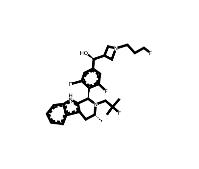 C[C@@H]1Cc2c([nH]c3ccccc23)[C@@H](c2c(F)cc([C@@H](O)C3CN(CCCF)C3)cc2F)N1CC(C)(C)F